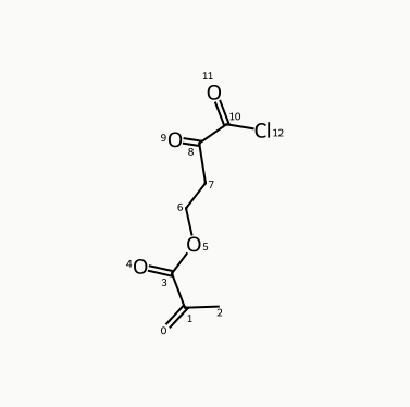 C=C(C)C(=O)OCCC(=O)C(=O)Cl